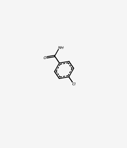 [NH]C(=O)c1ccc(Cl)cc1